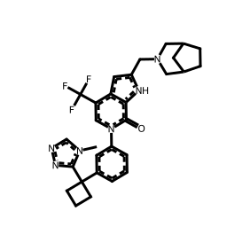 Cn1cnnc1C1(c2cccc(-n3cc(C(F)(F)F)c4cc(CN5CC6CCC(C6)C5)[nH]c4c3=O)c2)CCC1